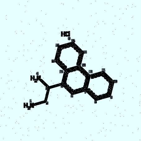 Cl.NCC(N)c1cc2ccccc2c2ccccc12